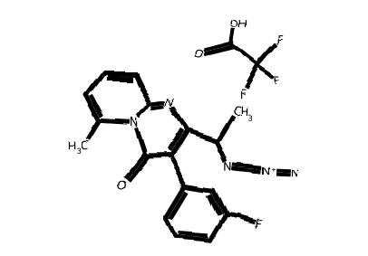 Cc1cccc2nc(C(C)N=[N+]=[N-])c(-c3cccc(F)c3)c(=O)n12.O=C(O)C(F)(F)F